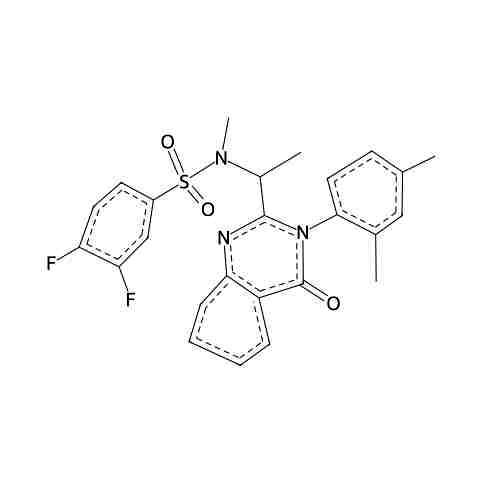 Cc1ccc(-n2c(C(C)N(C)S(=O)(=O)c3ccc(F)c(F)c3)nc3ccccc3c2=O)c(C)c1